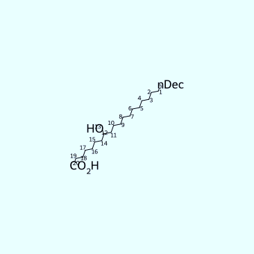 CCCCCCCCCCCCCCCCCCCCCC(O)CCCCCCC(=O)O